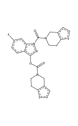 O=C(Oc1nn(C(=O)N2CCc3sccc3C2)c2cc(F)ccc12)N1CCc2sccc2C1